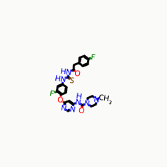 CN1CCN(C(=O)Nc2cc(Oc3ccc(NC(=S)NC(=O)Cc4ccc(F)cc4)cc3F)ncn2)CC1